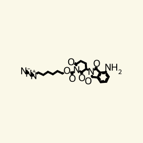 [N-]=[N+]=NCCCCCCOC(=O)N1C(=O)CCC(N2C(=O)c3cccc(N)c3C2=O)C1=O